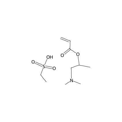 C=CC(=O)OC(C)CN(C)C.CCS(=O)(=O)O